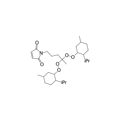 CC1CCC(C(C)C)C(OOC(C)(CCCN2C(=O)C=CC2=O)OOC2CC(C)CCC2C(C)C)C1